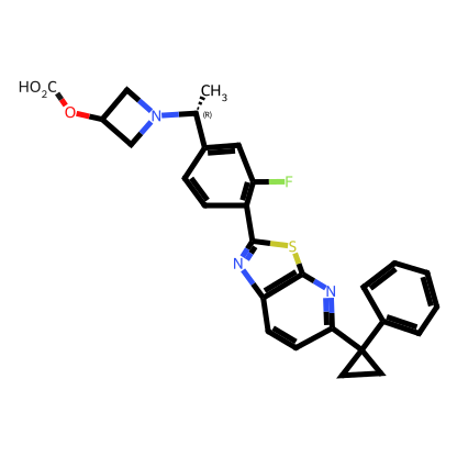 C[C@H](c1ccc(-c2nc3ccc(C4(c5ccccc5)CC4)nc3s2)c(F)c1)N1CC(OC(=O)O)C1